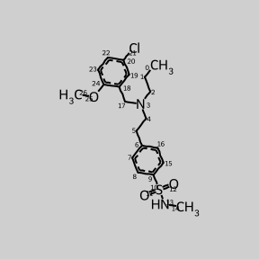 CCCN(CCc1ccc(S(=O)(=O)NC)cc1)Cc1cc(Cl)ccc1OC